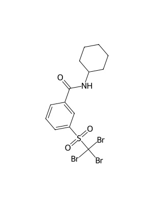 O=C(NC1CCCCC1)c1cccc(S(=O)(=O)C(Br)(Br)Br)c1